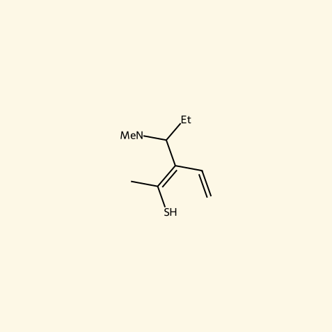 C=C/C(=C(/C)S)C(CC)NC